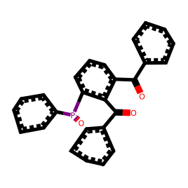 O=C(c1ccccc1)c1cccc([P](=O)c2ccccc2)c1C(=O)c1ccccc1